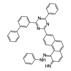 N=C1C=Cc2ccc3cc(-c4nc(-c5ccccc5)nc(-c5cccc(-c6ccccc6)c5)n4)ccc3c2/C1=N/Nc1ccccc1